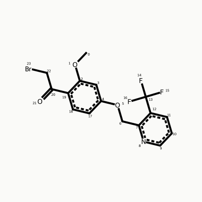 COc1cc(OCc2ncccc2C(F)(F)F)ccc1C(=O)CBr